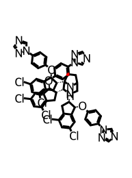 Clc1cc(Cl)c2c(c1)[C@@H](Oc1ccc(-n3cncn3)cc1)[C@H](C13CCC(CN([C@H]4Cc5c(Cl)cc(Cl)cc5[C@H]4Oc4ccc(-n5cncn5)cc4)C1[C@@H]1Cc4c(Cl)cc(Cl)cc4[C@H]1Oc1ccc(-n4cncn4)cc1)N3)C2